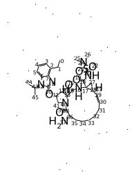 CCc1cccc2c1nc(O[C@@H]1C[C@H]3C(=O)N[C@]4(C(=O)NS(=O)(=O)N(C)C)C[C@H]4/C=C\CCCCC[C@H](N)C(=O)N3C1)n2C(C)C